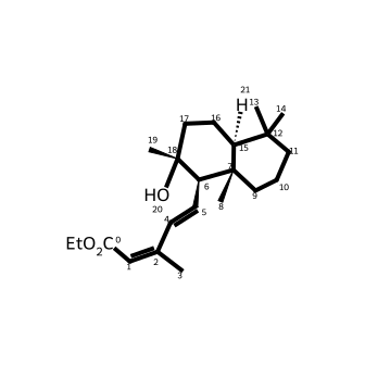 CCOC(=O)/C=C(C)\C=C\[C@@H]1[C@@]2(C)CCCC(C)(C)[C@@H]2CC[C@@]1(C)O